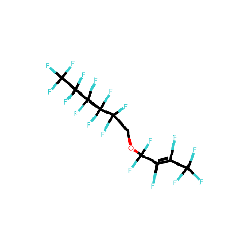 FC(=C(F)C(F)(F)OCC(F)(F)C(F)(F)C(F)(F)C(F)(F)C(F)(F)F)C(F)(F)F